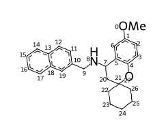 COc1ccc2c(c1)C(NCc1ccc3ccccc3c1)CC1(CCCCC1)O2